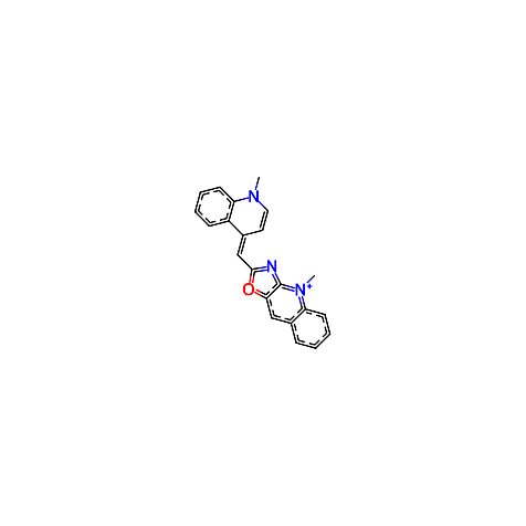 CN1C=C/C(=C\c2nc3c(cc4ccccc4[n+]3C)o2)c2ccccc21